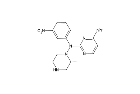 CCCc1ccnc(N(c2cccc([N+](=O)[O-])c2)N2CCNC[C@H]2C)n1